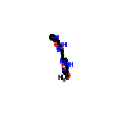 COc1ccnc(CC(=O)Nc2ccc(CCCCc3nnc(NC(=O)Cc4cc5n(n4)CCCC5)s3)nn2)c1